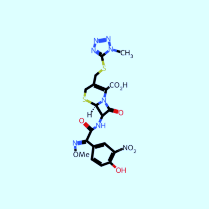 CO/N=C(/C(=O)NC1C(=O)N2C(C(=O)O)=C(CSc3nnnn3C)CS[C@H]12)c1ccc(O)c([N+](=O)[O-])c1